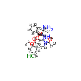 CCOC(=O)C1(c2ccccc2)CCN(C(=O)CC)C(NC(=O)C(C)(C)N)C1OCc1ccccc1.Cl